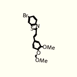 COCOc1ccc(C=Cc2nc3ccc(Br)cc3s2)cc1OC